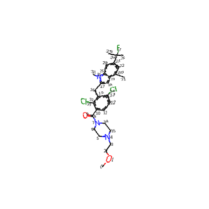 COCCN1CCN(C(=O)c2ccc(Cl)c(Cc3cc4c(C)cc(C(C)(C)F)cc4n3C)c2Cl)CC1